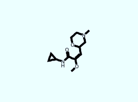 CO/C(=C/C1CN(C)CCO1)C(=O)NC1CC1